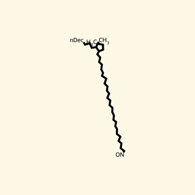 CCCCCCCCCCCCCC1C(CCCCCCCCCCCCCCCCCCCCCCCCCCCCN=O)CCC1(C)C